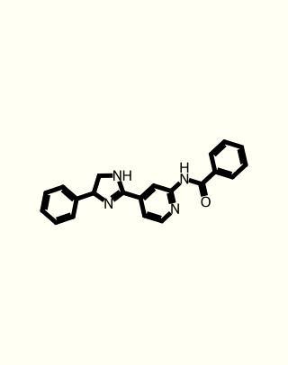 O=C(Nc1cc(C2=NC(c3ccccc3)CN2)ccn1)c1ccccc1